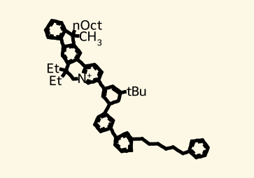 CCCCCCCCC1(C)c2ccccc2-c2cc3c(cc21)-c1ccc(C2=CC(c4cccc(-c5cccc(CCCCCCc6ccccc6)c5)c4)CC(C(C)(C)C)=C2)c[n+]1CC3(CC)CC